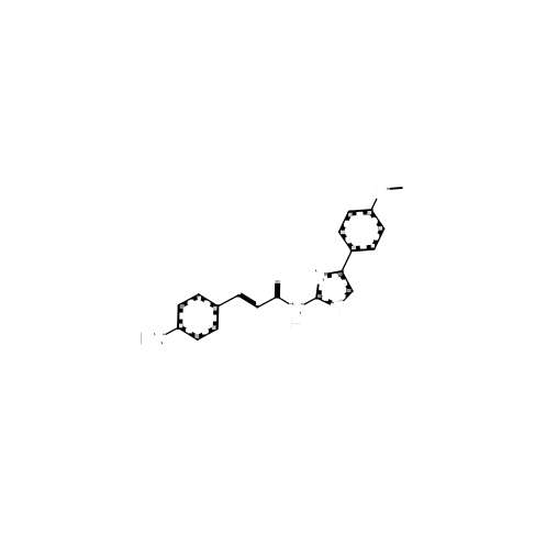 COc1ccc(-c2csc(NC(=O)C=Cc3ccc(N)cc3)n2)cc1